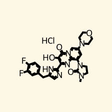 CN1CCN(c2cc(N3CCOCC3)cn3c(=O)c(O)c(-c4ncc(Cc5ccc(F)c(F)c5)[nH]4)nc23)C1=O.Cl